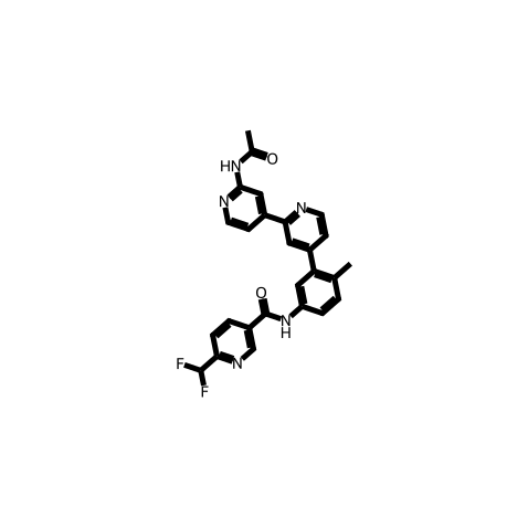 CC(=O)Nc1cc(-c2cc(-c3cc(NC(=O)c4ccc(C(F)F)nc4)ccc3C)ccn2)ccn1